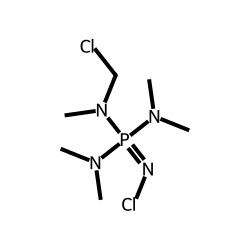 CN(C)P(=NCl)(N(C)C)N(C)CCl